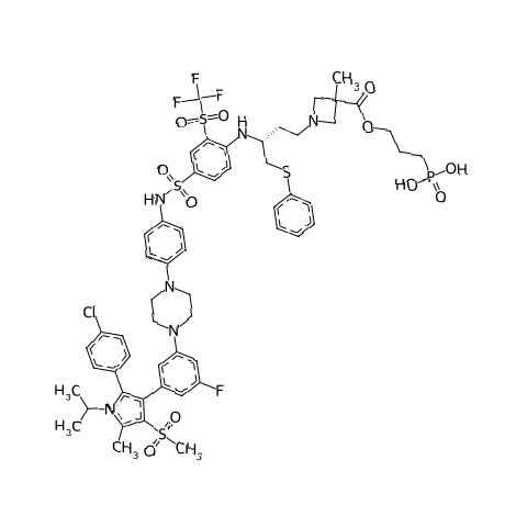 Cc1c(S(C)(=O)=O)c(-c2cc(F)cc(N3CCN(c4ccc(NS(=O)(=O)c5ccc(N[C@H](CCN6CC(C)(C(=O)OCCCP(=O)(O)O)C6)CSc6ccccc6)c(S(=O)(=O)C(F)(F)F)c5)cc4)CC3)c2)c(-c2ccc(Cl)cc2)n1C(C)C